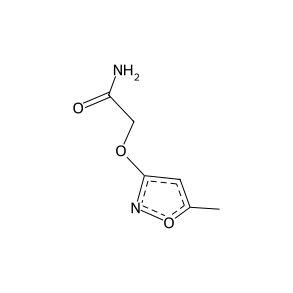 Cc1cc(OCC(N)=O)no1